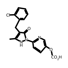 Cc1[nH]n(-c2ccc(OC(=O)O)cn2)c(=O)c1Cc1ccccc1Cl